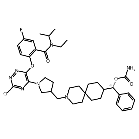 CCN(C(=O)c1cc(F)ccc1Oc1nnc(Cl)nc1N1CCC(CN2CCC3(CCC([C@H](OC(N)=O)c4ccccc4)CC3)CC2)C1)C(C)C